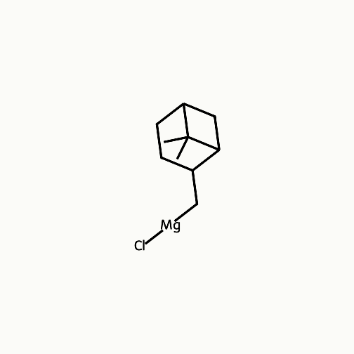 CC1(C)C2CCC([CH2][Mg][Cl])C1C2